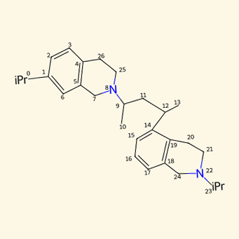 CC(C)c1ccc2c(c1)CN(C(C)CC(C)c1cccc3c1CCN(C(C)C)C3)CC2